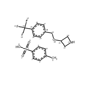 Cc1ccc(S(=O)(=O)O)cc1.FC(F)(F)c1ccc(COC2CNC2)cc1